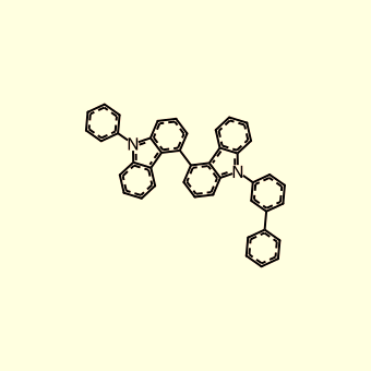 c1ccc(-c2cccc(-n3c4ccccc4c4c(-c5cccc6c5c5ccccc5n6-c5ccccc5)cccc43)c2)cc1